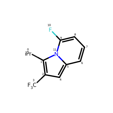 CC(C)c1c(C(F)(F)F)cc2cccc(F)n12